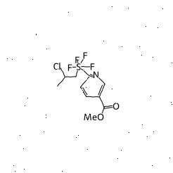 COC(=O)c1ccc(S(F)(F)(F)(F)CC(C)Cl)nc1